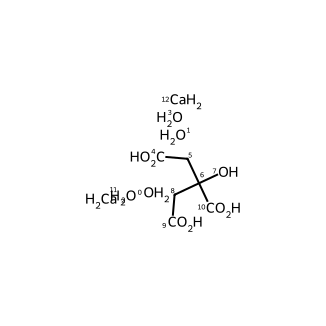 O.O.O.O.O=C(O)CC(O)(CC(=O)O)C(=O)O.[CaH2].[CaH2]